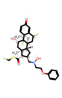 C[C@]12C[C@H](O)[C@@]3(F)[C@@H](C[C@H](F)C4=CC(=O)C=C[C@@]43C)[C@@H]1C[C@@H](CN(O)CCOc1ccccc1)[C@@H]2C(=O)SCF